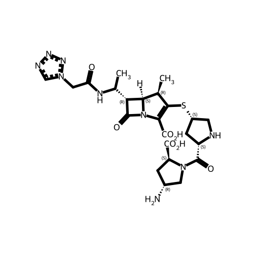 CC(NC(=O)Cn1cnnn1)[C@H]1C(=O)N2C(C(=O)O)=C(S[C@@H]3CN[C@H](C(=O)N4C[C@H](N)C[C@H]4C(=O)O)C3)[C@H](C)[C@H]12